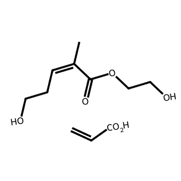 C=CC(=O)O.CC(=CCCO)C(=O)OCCO